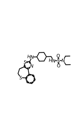 CCN(CC)S(=O)(=O)NCC1CCC(Nc2nc3c(s2)CCSc2ccccc2-3)CC1